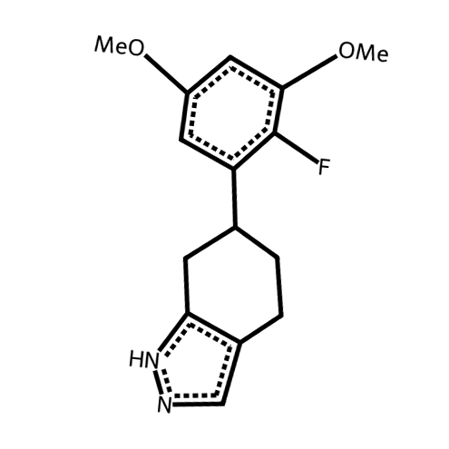 COc1cc(OC)c(F)c(C2CCc3cn[nH]c3C2)c1